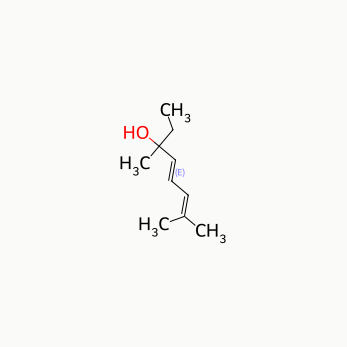 CCC(C)(O)/C=C/C=C(C)C